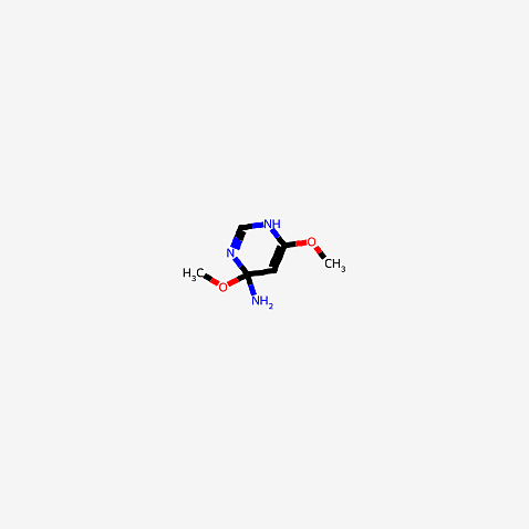 COC1=CC(N)(OC)N=CN1